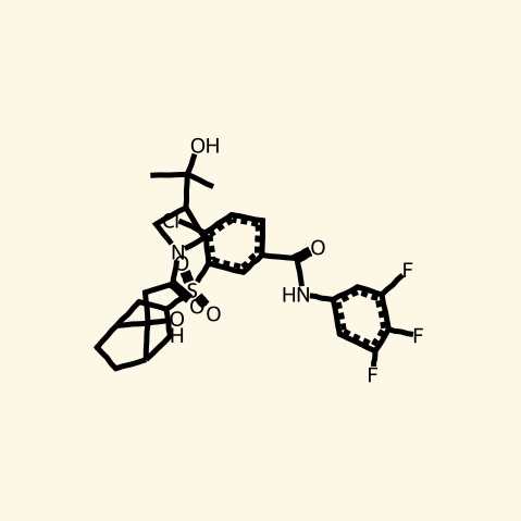 CC(C)(O)C1CN(C(=O)CC2(O)C3CCC2CC(S(=O)(=O)c2cc(C(=O)Nc4cc(F)c(F)c(F)c4)ccc2Cl)C3)C1